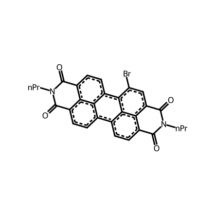 CCCN1C(=O)c2ccc3c4ccc5c6c(cc(Br)c(c7ccc(c2c37)C1=O)c64)C(=O)N(CCC)C5=O